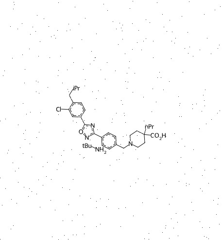 CC(C)(C)N.CCCC1(C(=O)O)CCN(Cc2ccc(-c3noc(-c4ccc(CC(C)C)c(Cl)c4)n3)cc2)CC1